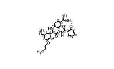 CCCOc1cc(OC)cc(C(Nc2ccc(C(=N)N)cc2)C(=O)NNC(=O)c2cnccc2Cl)c1F